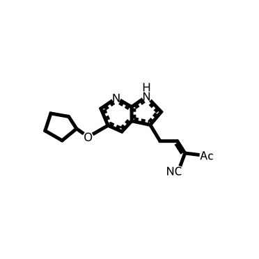 CC(=O)/C(C#N)=C/Cc1c[nH]c2ncc(OC3CCCC3)cc12